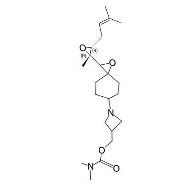 CC(C)=CC[C@H]1O[C@@]1(C)C1OC12CCC(N1CC(COC(=O)N(C)C)C1)CC2